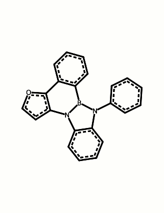 c1ccc(N2B3c4ccccc4-c4occc4N3c3ccccc32)cc1